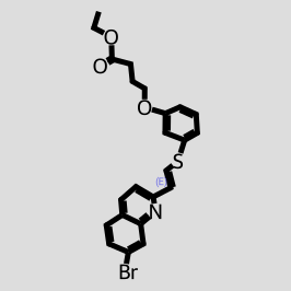 CCOC(=O)CCCOc1cccc(S/C=C/c2ccc3ccc(Br)cc3n2)c1